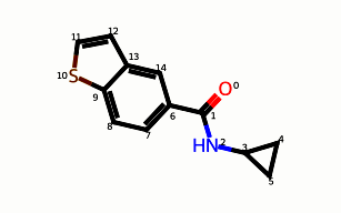 O=C(NC1CC1)c1ccc2sccc2c1